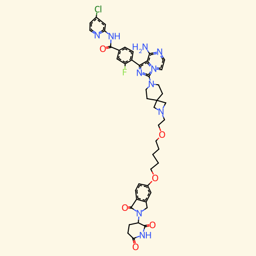 Nc1nccn2c(N3CCC4(CC3)CN(CCOCCCCCOc3ccc5c(c3)CN(C3CCC(=O)NC3=O)C5=O)C4)nc(-c3ccc(C(=O)Nc4cc(Cl)ccn4)cc3F)c12